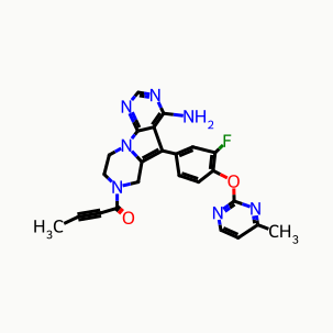 CC#CC(=O)N1CCn2c(c(-c3ccc(Oc4nccc(C)n4)c(F)c3)c3c(N)ncnc32)C1